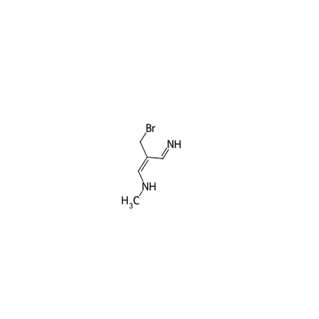 CN/C=C(\C=N)CBr